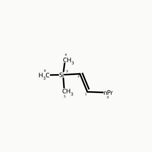 CCCC=C[Si](C)(C)C